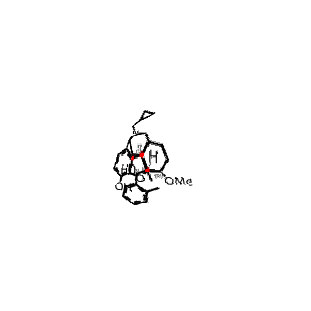 CO[C@]12CCC3(CC1(C)[C@H](O)c1ccccc1C)C1Cc4ccc(O)c5c4[C@@]3(CCN1CC1CC1)[C@@H]2O5